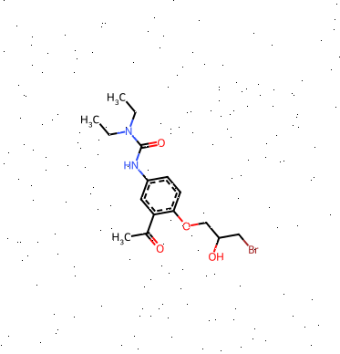 CCN(CC)C(=O)Nc1ccc(OCC(O)CBr)c(C(C)=O)c1